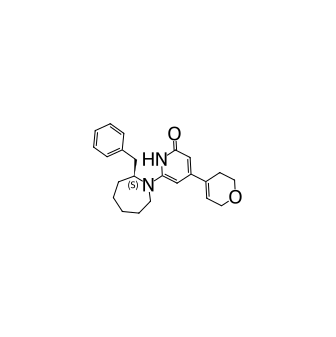 O=c1cc(C2=CCOCC2)cc(N2CCCCC[C@H]2Cc2ccccc2)[nH]1